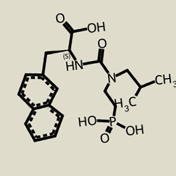 CC(C)CN(CCP(=O)(O)O)C(=O)N[C@@H](Cc1ccc2ccccc2c1)C(=O)O